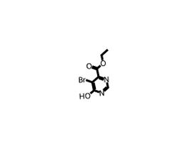 CCOC(=O)c1ncnc(O)c1Br